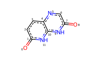 O=c1ccc2ncc(=O)[nH]c2[nH]1